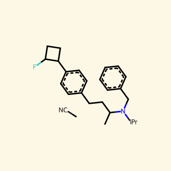 CC#N.CC(C)N(Cc1ccccc1)C(C)CCc1ccc(C2CCC2F)cc1